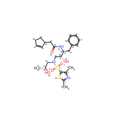 Cc1nc(C)c(S(=O)(=O)N(C[C@@H](O)[C@H](Cc2ccccc2)NC(=O)CC2C=CCC2)C[C@@H](C)O)s1